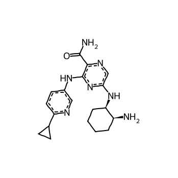 NC(=O)c1ncc(N[C@@H]2CCCC[C@@H]2N)nc1Nc1ccc(C2CC2)nc1